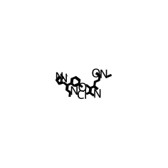 CCN(C)C(=O)CCc1cncc(Cl)c1COc1cccc2c(-c3ccnn3C)cc(C)nc12